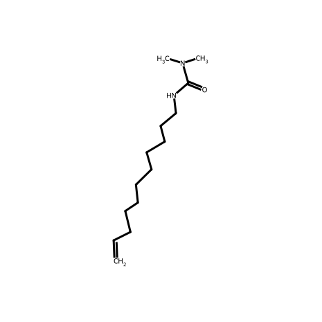 C=CCCCCCCCCCNC(=O)N(C)C